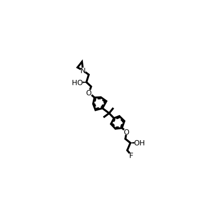 CC(C)(c1ccc(OC[C@@H](O)CN2CC2)cc1)c1ccc(OC[C@@H](O)CF)cc1